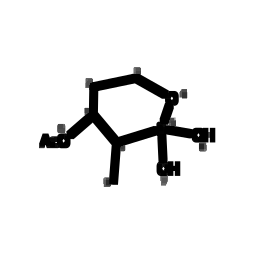 CC(=O)OC1CCOS(O)(O)C1C